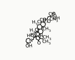 CC(C)C1=C2[C@H]3CCC4[C@@]5(C)CC[C@H](OC(=O)CC(C)(C)C(=O)O)C(C)(C)C5CC[C@@]4(C)[C@]3(C)CCC2([C@H](O)CN2CCC[C@@H](O)C2)CC1=O